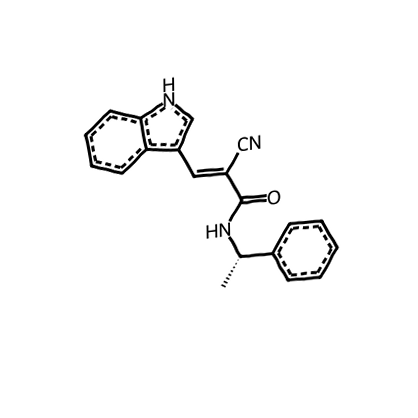 C[C@H](NC(=O)/C(C#N)=C/c1c[nH]c2ccccc12)c1ccccc1